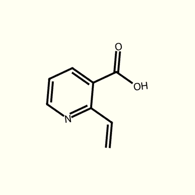 C=Cc1ncccc1C(=O)O